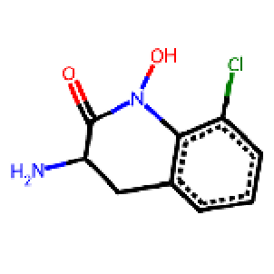 NC1Cc2cccc(Cl)c2N(O)C1=O